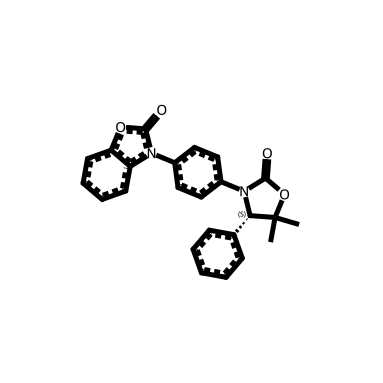 CC1(C)OC(=O)N(c2ccc(-n3c(=O)oc4ccccc43)cc2)[C@H]1c1ccccc1